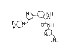 CN(C)Cc1cncc(NC(=O)c2n[nH]c3ccc(-c4cncc(CN5CCC(F)(F)CC5)c4)cc23)c1